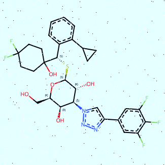 OC[C@H]1O[C@@H](S[C@@H](c2ccccc2C2CC2)C2(O)CCC(F)(F)CC2)[C@H](O)[C@@H](n2cc(-c3cc(F)c(F)c(F)c3)nn2)[C@H]1O